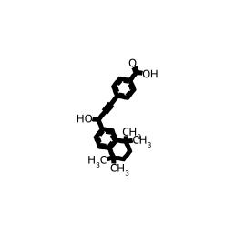 CC1(C)CCC(C)(C)c2cc(C(O)C#Cc3ccc(C(=O)O)cc3)ccc21